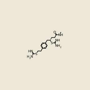 CNC(=O)CC[C@H](Cc1ccc(CCSC(=N)N)cc1)SC(=N)N